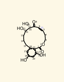 O=C1OCC/C=C\C(=O)[C@@H](O)[C@@H](O)CCCc2cc(O)cc(O)c21